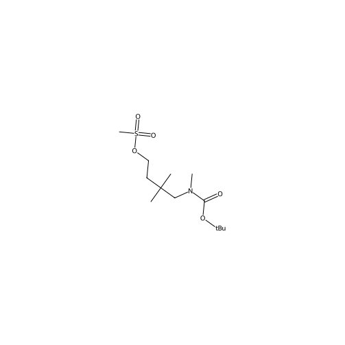 CN(CC(C)(C)CCOS(C)(=O)=O)C(=O)OC(C)(C)C